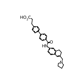 O=C(O)CCc1ccc(-c2ccc(C(=O)Nc3ccc4c(c3)CCC(CN3CCCC3)=C4)cc2)cc1